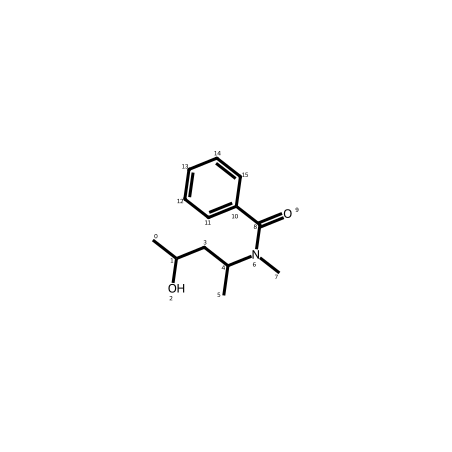 CC(O)CC(C)N(C)C(=O)c1ccccc1